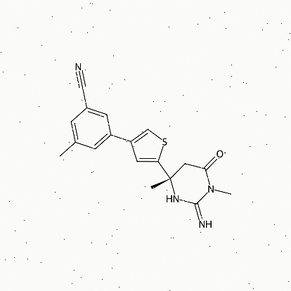 Cc1cc(C#N)cc(-c2csc([C@]3(C)CC(=O)N(C)C(=N)N3)c2)c1